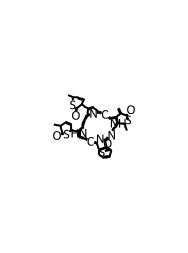 C=C1C(=O)SC(C)c2c1c1cc3nc(cc4[nH]c(cc5nc(nc2[nH]1)C1=C5C2C=CC1C(=O)S2)cc4C1C=CC(C)C(=O)S1)C(C1C=CC(C)SC1=O)=C3